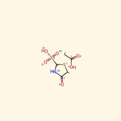 CC(=O)O.O=C1CSC(S(=O)(=O)O)N1